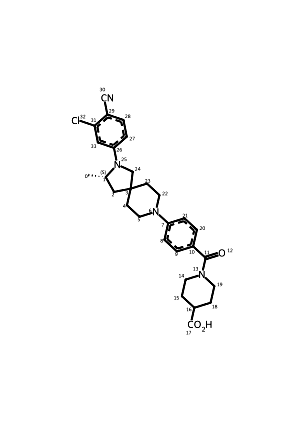 C[C@H]1CC2(CCN(c3ccc(C(=O)N4CCC(C(=O)O)CC4)cc3)CC2)CN1c1ccc(C#N)c(Cl)c1